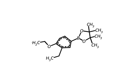 [CH2]COc1ccc(B2OC(C)(C)C(C)(C)O2)cc1CC